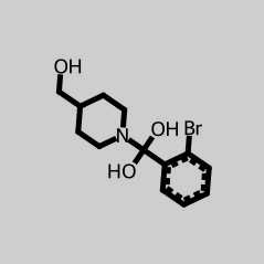 OCC1CCN(C(O)(O)c2ccccc2Br)CC1